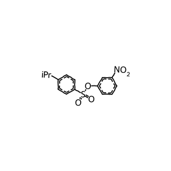 CC(C)c1ccc(S(=O)(=O)Oc2cccc([N+](=O)[O-])c2)cc1